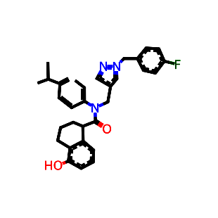 C=C(/C=C\C(=C/C)N(Cc1cnn(Cc2ccc(F)cc2)c1)C(=O)C1CCCc2c(O)cccc21)C(C)C